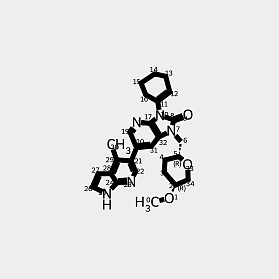 CO[C@@H]1CC[C@H](Cn2c(=O)n(C3=CCCCC3)c3ncc(-c4cnc5[nH]ccc5c4C)cc32)OC1